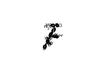 CC1(O)CC[C@@H](c2ccc(Cl)cc2)[C@H](CN2CCN(c3ccc(C(=O)NS(=O)(=O)c4ccc(NCC5CCOCC5)c([N+](=O)[O-])c4)c(Oc4cnc5[nH]ccc5c4)c3)CC2)C1